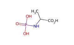 CC(NP(=O)(O)O)C(=O)O